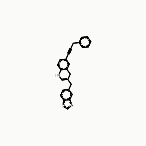 C(#Cc1ccc2c(c1)CC(Cc1ccc3scnc3c1)=CN2)Cc1ccccc1